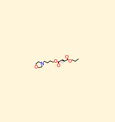 CCCOC(=O)/C=C/C(=O)OCCCCN1CCOCC1